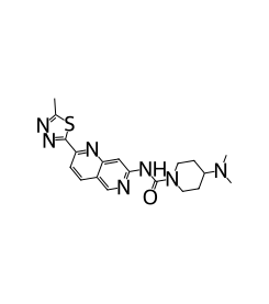 Cc1nnc(-c2ccc3cnc(NC(=O)N4CCC(N(C)C)CC4)cc3n2)s1